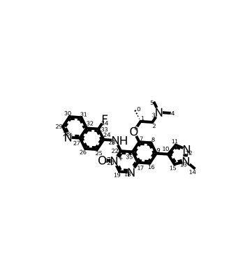 C[C@H](CN(C)C)Oc1cc(-c2cnn(C)c2)cc2nc[n+]([O-])c(Nc3ccc4ncccc4c3F)c12